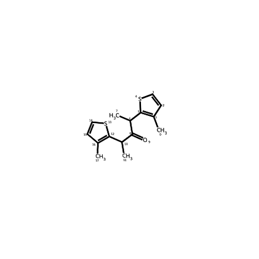 Cc1ccsc1C(C)C(=O)C(C)c1sccc1C